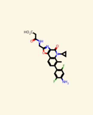 Cc1c(-c2cc(F)c(N)cc2F)ccc2c3oc(CNC(=O)CC(=O)O)nc3c(=O)n(C3CC3)c12